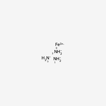 [Fe+3].[NH2-].[NH2-].[NH2-]